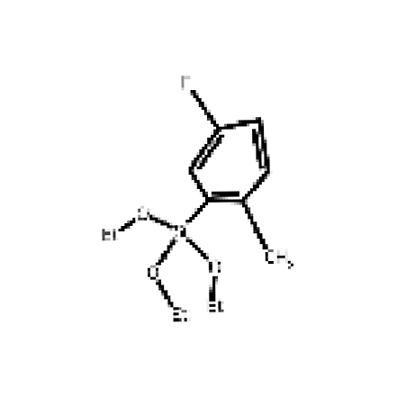 CCO[Si](OCC)(OCC)c1cc(F)ccc1C